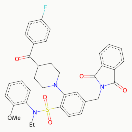 CCN(c1ccccc1OC)S(=O)(=O)c1ccc(CN2C(=O)c3ccccc3C2=O)cc1N1CCC(C(=O)c2ccc(F)cc2)CC1